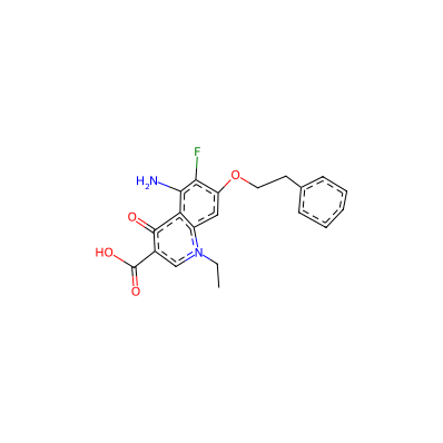 CCn1cc(C(=O)O)c(=O)c2c(N)c(F)c(OCCc3ccccc3)cc21